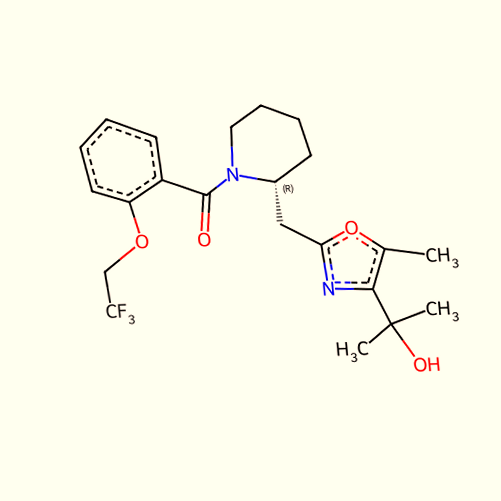 Cc1oc(C[C@H]2CCCCN2C(=O)c2ccccc2OCC(F)(F)F)nc1C(C)(C)O